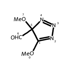 COC1=NN=NC1(C=O)OC